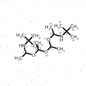 CC(NC(C)(C)C)OC(C)OC(C)OC(C)NC(C)(C)C